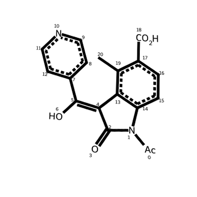 CC(=O)N1C(=O)C(=C(O)c2ccncc2)c2c1ccc(C(=O)O)c2C